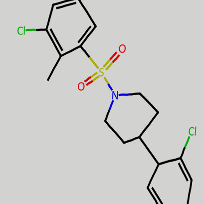 Cc1c(Cl)cccc1S(=O)(=O)N1CCC(C2C=CCC=C2Cl)CC1